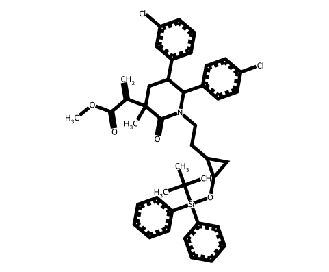 C=C(C(=O)OC)C1(C)CC(c2cccc(Cl)c2)C(c2ccc(Cl)cc2)N(CCC2CC2O[Si](c2ccccc2)(c2ccccc2)C(C)(C)C)C1=O